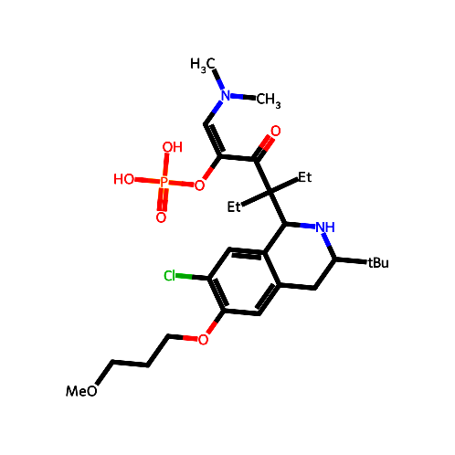 CCC(CC)(C(=O)C(=CN(C)C)OP(=O)(O)O)C1NC(C(C)(C)C)Cc2cc(OCCCOC)c(Cl)cc21